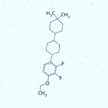 CCOc1ccc(C2CCC(C3CCC(C)(C)CC3)CC2)c(F)c1F